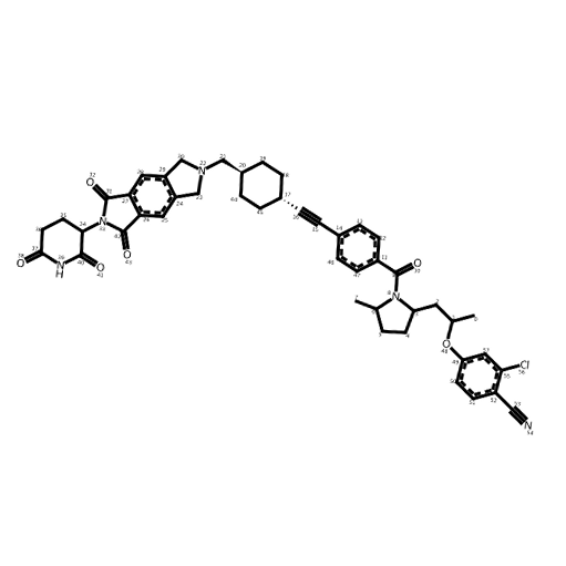 CC(CC1CCC(C)N1C(=O)c1ccc(C#C[C@H]2CC[C@H](CN3Cc4cc5c(cc4C3)C(=O)N(C3CCC(=O)NC3=O)C5=O)CC2)cc1)Oc1ccc(C#N)c(Cl)c1